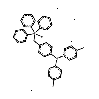 Cc1ccc(N(c2ccc(C)cc2)c2ccc(CP(Br)(c3ccccc3)(c3ccccc3)c3ccccc3)cc2)cc1